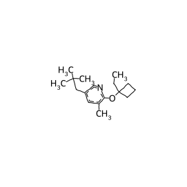 CCC1(Oc2ncc(CC(C)(C)C)cc2C)CCC1